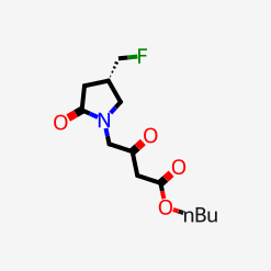 CCCCOC(=O)CC(=O)CN1C[C@@H](CF)CC1=O